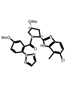 COc1ccc(-n2nccn2)c(C(=O)N2C[C@H](OC)C[C@H]2c2nc3ccc(Cl)c(C)c3[nH]2)c1